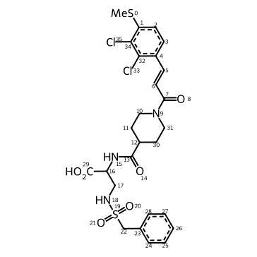 CSc1ccc(C=CC(=O)N2CCC(C(=O)NC(CNS(=O)(=O)Cc3ccccc3)C(=O)O)CC2)c(Cl)c1Cl